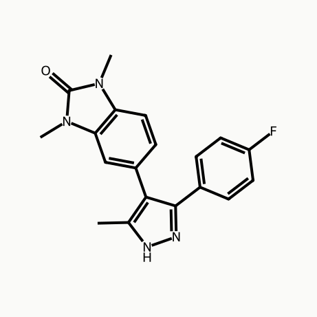 Cc1[nH]nc(-c2ccc(F)cc2)c1-c1ccc2c(c1)n(C)c(=O)n2C